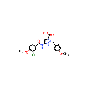 COc1ccc(Cn2nc(NC(=O)c3ccc(OC)c(Cl)c3)cc2C(=O)O)cc1